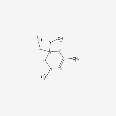 CC1=CC(C)CC(CO)(CO)C1